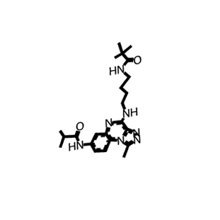 Cc1nnc2c(NCCCCNC(=O)C(C)(C)C)nc3cc(NC(=O)C(C)C)ccc3n12